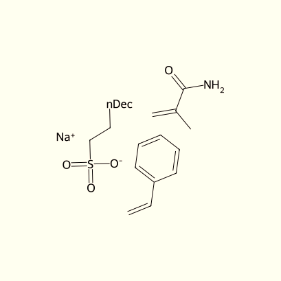 C=C(C)C(N)=O.C=Cc1ccccc1.CCCCCCCCCCCCS(=O)(=O)[O-].[Na+]